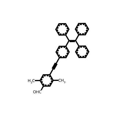 Cc1cc(C=O)c(C)cc1C#Cc1ccc(C(=C(c2ccccc2)c2ccccc2)c2ccccc2)cc1